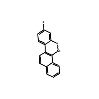 Fc1ccc2c(c1)SNc1c-2ccc2cccnc12